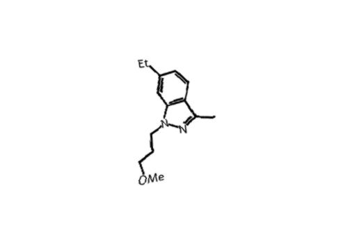 CCc1ccc2c(C)nn(CCCOC)c2c1